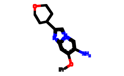 CC(C)Oc1cc2nc(C3CCOCC3)cn2cc1N